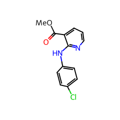 COC(=O)c1cccnc1Nc1ccc(Cl)cc1